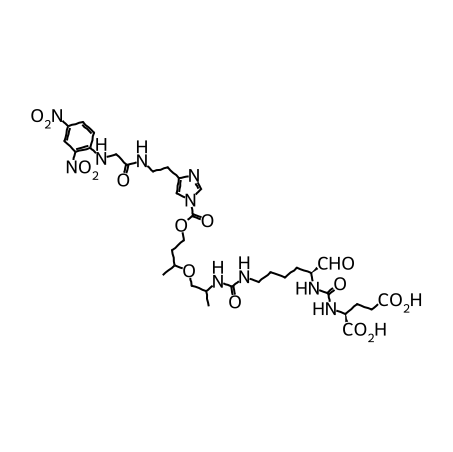 CC(COC(C)CCOC(=O)n1cnc(CCNC(=O)CNc2ccc([N+](=O)[O-])cc2[N+](=O)[O-])c1)NC(=O)NCCCC[C@@H](C=O)NC(=O)N[C@@H](CCC(=O)O)C(=O)O